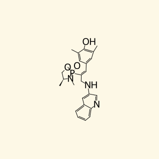 Cc1cc(/C=C(/CNc2cnc3ccccc3c2)P2(=O)OC[C@H](C)N2C)cc(C)c1O